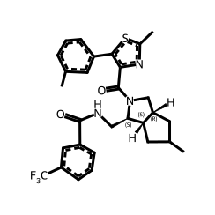 Cc1cccc(-c2sc(C)nc2C(=O)N2C[C@@H]3CC(C)C[C@@H]3[C@H]2CNC(=O)c2cccc(C(F)(F)F)c2)c1